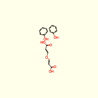 O=C(O)C=COC=CC(=O)O.Oc1ccccc1.Oc1ccccc1